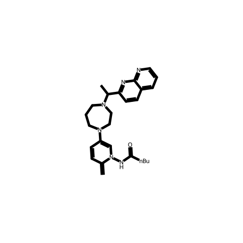 C=C1C=CC(N2CCCN(C(C)c3ccc4cccnc4n3)CC2)=CN1NC(=O)CCCC